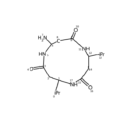 CC(C)C1CC(=O)NC(N)CC(=O)NC(C(C)C)CC(=O)N1